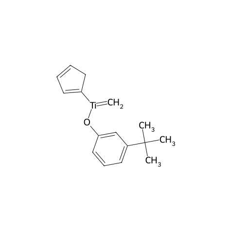 [CH2]=[Ti]([O]c1cccc(C(C)(C)C)c1)[C]1=CC=CC1